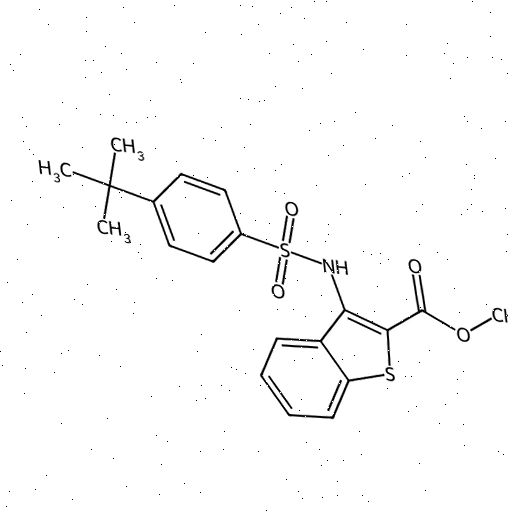 COC(=O)c1sc2ccccc2c1NS(=O)(=O)c1ccc(C(C)(C)C)cc1